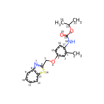 Cc1cc(OCc2nc3ccccc3s2)ccc1NC(=O)OC(C)C